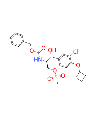 CS(=O)(=O)OC[C@@H](NC(=O)OCc1ccccc1)[C@H](O)c1ccc(OC2CCC2)c(Cl)c1